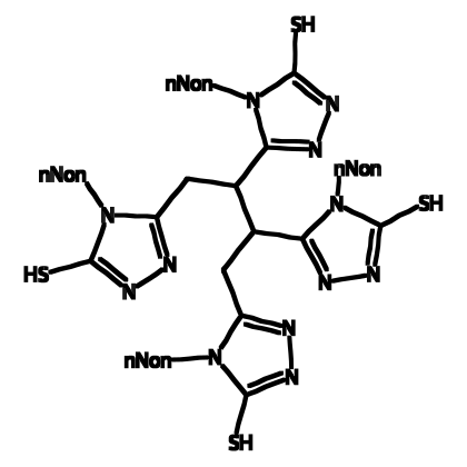 CCCCCCCCCn1c(S)nnc1CC(c1nnc(S)n1CCCCCCCCC)C(Cc1nnc(S)n1CCCCCCCCC)c1nnc(S)n1CCCCCCCCC